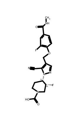 CNC(=O)c1ccc(OCc2cnn([C@H]3CCN(C(=O)O)C[C@H]3F)c2C#N)c(F)c1